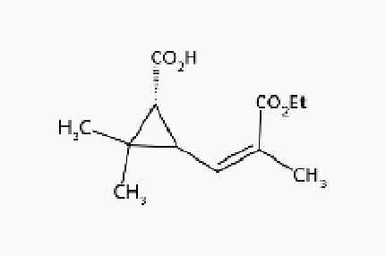 CCOC(=O)/C(C)=C\C1[C@@H](C(=O)O)C1(C)C